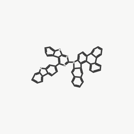 c1ccc2cc3c(cc2c1)c1c2c4ccccc4c4ccccc4c2ccc1n3-c1nc(-c2ccc3c(c2)sc2ccccc23)c2c(n1)oc1ccccc12